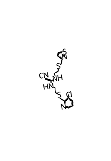 N#CC=C(NCCSCc1ccsn1)NCCSCc1ncccc1Cl